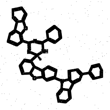 C[C@]1(C2=CC=CC3Oc4cc(-n5c6ccccc6c6cc(-c7ccccc7)ccc65)ccc4C23)N=C(c2cccc3c2oc2ccccc23)N=C(c2ccccc2)N1